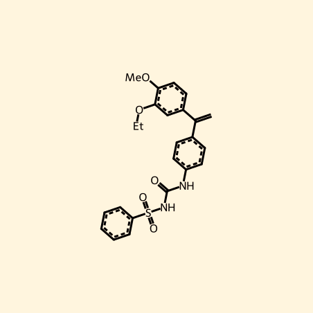 C=C(c1ccc(NC(=O)NS(=O)(=O)c2ccccc2)cc1)c1ccc(OC)c(OCC)c1